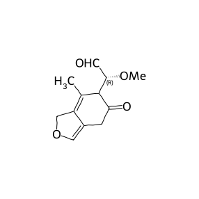 CO[C@@H](C=O)C1C(=O)CC2=COCC2=C1C